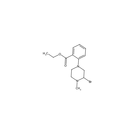 CCOC(=O)c1ccccc1N1CCN(C)C(Br)C1